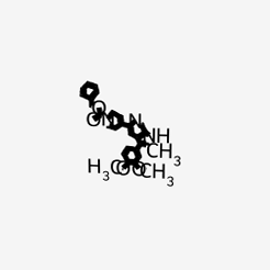 COc1ccc(-c2c(C)[nH]c3cnc(C4=CCN(C(=O)OCc5ccccc5)CC4)cc23)cc1OC